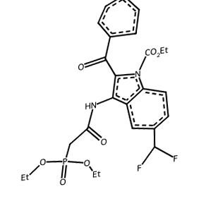 CCOC(=O)n1c(C(=O)c2ccccc2)c(NC(=O)CP(=O)(OCC)OCC)c2cc(C(F)F)ccc21